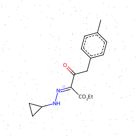 CCOC(=O)/C(=N\NC1CC1)C(=O)Cc1ccc(C)cc1